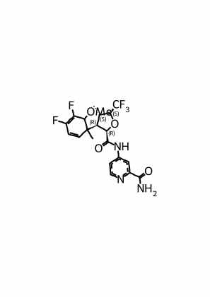 COC1C(F)=C(F)C=CC1(C)[C@H]1[C@H](C)[C@@H](C(F)(F)F)O[C@H]1C(=O)Nc1ccnc(C(N)=O)c1